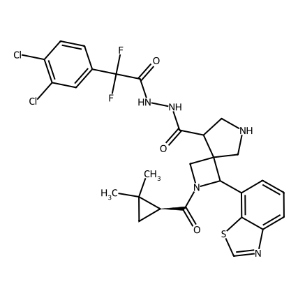 CC1(C)C[C@@H]1C(=O)N1CC2(CNCC2C(=O)NNC(=O)C(F)(F)c2ccc(Cl)c(Cl)c2)C1c1cccc2ncsc12